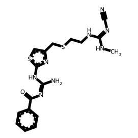 CN/C(=N/C#N)NCCSCc1csc(N/C(N)=N\C(=O)c2ccccc2)n1